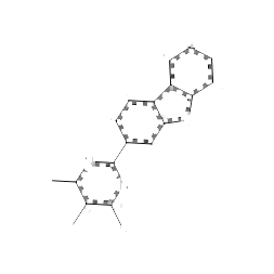 Cc1nc(-c2ccc3c(c2)oc2cc[c]cc23)nc(C)c1C